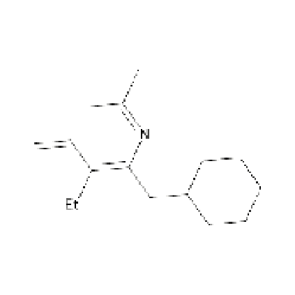 C=C/C(CC)=C(/CC1CCCCC1)N=C(C)C